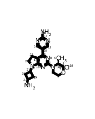 C[C@H]1COCCN1c1nc(-c2cnc(N)nc2)c2c(n1)N(C1CC(N)C1)CC2.Cl